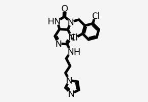 O=C1NC2C=NC(NCCCn3ccnc3)=NC2N1Cc1c(Cl)cccc1Cl